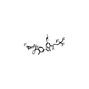 C/C=C/c1cc(NCCC(F)(F)F)c2ncc(-c3ccc(C(=O)N[C@H]4C[C@@H]4F)c(C)c3)n2c1